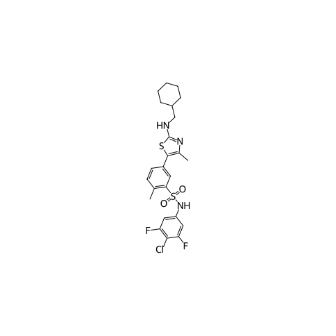 Cc1ccc(-c2sc(NCC3CCCCC3)nc2C)cc1S(=O)(=O)Nc1cc(F)c(Cl)c(F)c1